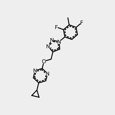 Cc1c(F)ccc(-n2cc(COc3ncc(C4CC4)cn3)nn2)c1F